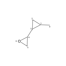 CC1C[C]1C1CO1